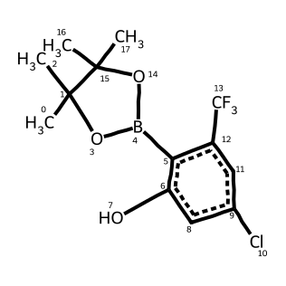 CC1(C)OB(c2c(O)cc(Cl)cc2C(F)(F)F)OC1(C)C